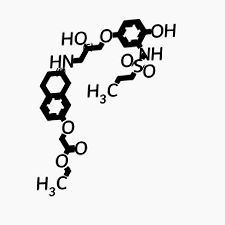 CCCS(=O)(=O)Nc1cc(OC[C@@H](O)CN[C@H]2CCc3ccc(OCC(=O)OCC)cc3C2)ccc1O